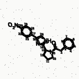 O=C(Cc1ccccc1)N1CCCC1c1nc(-c2ccc([N+](=O)[O-])cc2)c[nH]1